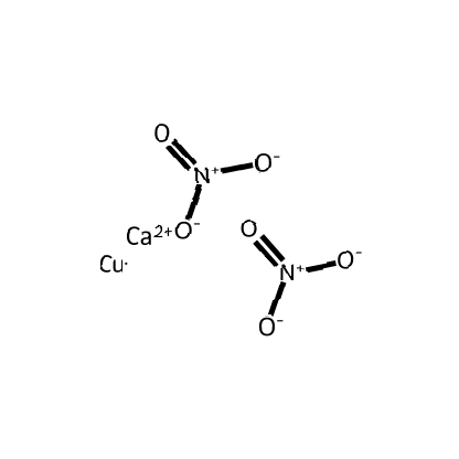 O=[N+]([O-])[O-].O=[N+]([O-])[O-].[Ca+2].[Cu]